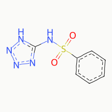 O=S(=O)(Nc1nnn[nH]1)c1ccccc1